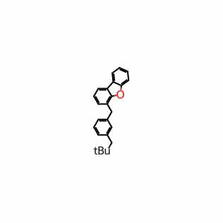 CC(C)(C)Cc1cccc(Cc2cccc3c2oc2ccccc23)c1